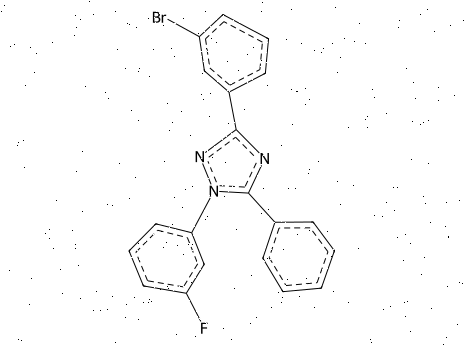 Fc1cccc(-n2nc(-c3cccc(Br)c3)nc2-c2ccccc2)c1